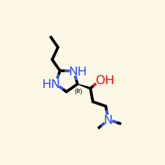 CCCC1NC[C@H](C(O)CCN(C)C)N1